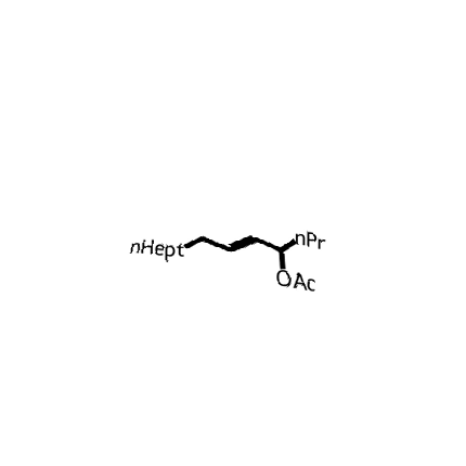 CCCCCCCCC=CC(CCC)OC(C)=O